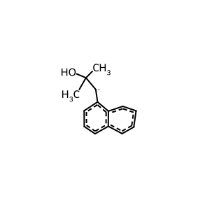 CC(C)(O)[CH]c1cccc2ccccc12